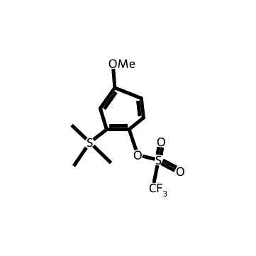 COc1ccc(OS(=O)(=O)C(F)(F)F)c(S(C)(C)C)c1